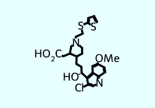 COc1ccc2ncc(Cl)c([C@H](O)CCC3CCN(CCSc4cccs4)CC3CC(=O)O)c2c1